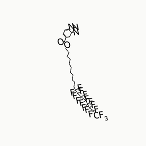 O=C(OCCCCCCCCCCCC(F)(F)C(F)(F)C(F)(F)C(F)(F)C(F)(F)C(F)(F)C(F)(F)C(F)(F)F)C1=CC=C2N=NN=C2C1